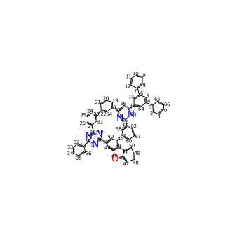 c1ccc(-c2cc(-c3ccccc3)cc(-c3cc(-c4cccc(-c5cccc(-c6nc(-c7ccccc7)nc(-c7ccc8c(c7)oc7ccccc78)n6)c5)c4)nc(-c4ccccc4)n3)c2)cc1